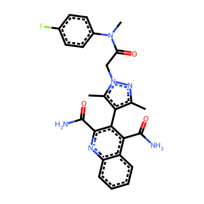 Cc1nn(CC(=O)N(C)c2ccc(F)cc2)c(C)c1-c1c(C(N)=O)nc2ccccc2c1C(N)=O